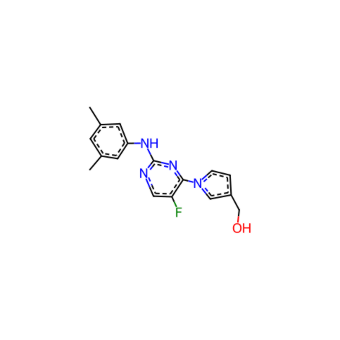 Cc1cc(C)cc(Nc2ncc(F)c(-n3ccc(CO)c3)n2)c1